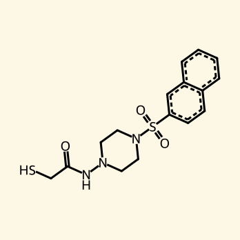 O=C(CS)NN1CCN(S(=O)(=O)c2ccc3ccccc3c2)CC1